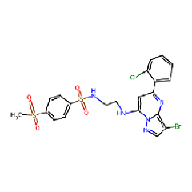 CS(=O)(=O)c1ccc(S(=O)(=O)NCCNc2cc(-c3ccccc3Cl)nc3c(Br)cnn23)cc1